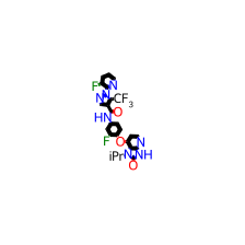 CC(C)n1c(=O)[nH]c2nccc(Oc3ccc(NC(=O)c4cnn(-c5ncccc5F)c4C(F)(F)F)cc3F)c21